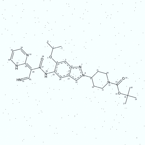 CC(C)Oc1cc2nn(C3CCN(C(=O)OC(C)(C)C)CC3)cc2cc1NC(=O)/C(C=N)=C1\N=CC=CN1